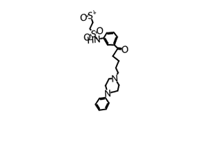 C[S+]([O-])CCS(=O)(=O)Nc1cccc(C(=O)CCCCN2CCN(c3ccccc3)CC2)c1